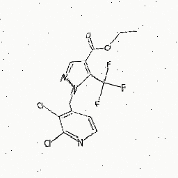 CCOC(=O)c1cnn(-c2ccnc(Cl)c2Cl)c1C(F)(F)F